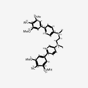 COc1cc(-c2ccc(N(C)CCN(C)c3ccc(-c4cc(OC)c(C#N)c(OC)c4)nc3)cn2)cc(OC)c1C#N